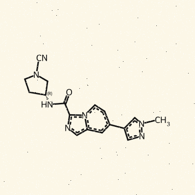 Cn1cc(-c2ccn3c(C(=O)N[C@@H]4CCN(C#N)C4)ncc3c2)cn1